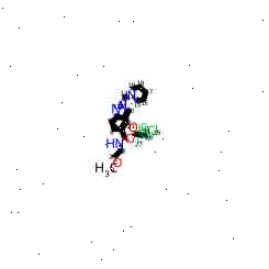 COCCNC(=O)c1ccc2nn(CN3CCCCC3)cc2c1OCC(F)(F)F.Cl